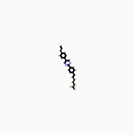 C=CCc1ccc(-c2cnc(-c3ccc(C=CCCCC(C)F)cc3)nc2)cc1